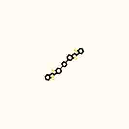 c1ccc2c(c1)sc1c3ccc(-c4ccc(-c5ccc6c(c5)sc5c7ccccc7sc65)cc4)cc3sc21